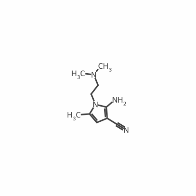 Cc1cc(C#N)c(N)n1CCN(C)C